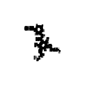 O=Cc1cccc(SNc2c(F)c(OCC(F)(F)F)cc(OCC(F)(F)F)c2F)c1